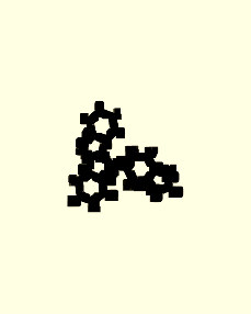 c1ccc2c(c1)sc1c3ccccc3n(-c3ccc4ncsc4c3)c21